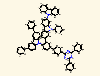 c1ccc(-c2ccc3c(c2)c2cc(-c4ccccc4)ccc2n3-c2ccc(-c3ccc(-c4nc(-c5ccccc5)nc(-c5ccccc5)n4)cc3)cc2-c2ccc3c4ccc(-n5c6ccccc6c6ccccc65)cc4n(-c4ccccc4)c3c2)cc1